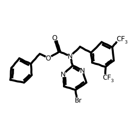 O=C(OCc1ccccc1)N(Cc1cc(C(F)(F)F)cc(C(F)(F)F)c1)c1ncc(Br)cn1